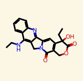 CCNc1c2c(nc3ccccc13)-c1cc3c(c(=O)n1C2)COC(=O)C3(O)CC